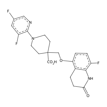 O=C1CCc2c(OCC3(C(=O)O)CCN(c4ncc(F)cc4F)CC3)ccc(F)c2N1